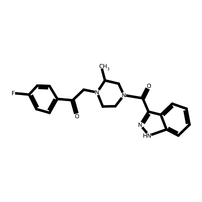 CC1CN(C(=O)c2n[nH]c3ccccc23)CCN1CC(=O)c1ccc(F)cc1